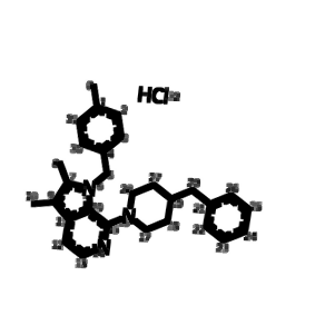 Cc1ccc(Cn2c(C)c(C)c3ccnc(N4CCC(Cc5ccccc5)CC4)c32)cc1.Cl